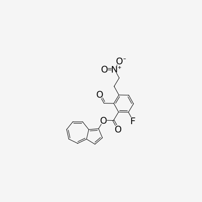 O=Cc1c(CC[N+](=O)[O-])ccc(F)c1C(=O)Oc1ccc2cccccc1-2